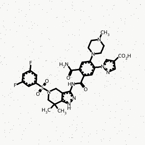 CN1CCN(c2cc(C(N)=O)c(C(=O)Nc3n[nH]c4c3CN(S(=O)(=O)c3cc(F)cc(F)c3)CC4(C)C)cc2-n2cc(C(=O)O)cn2)CC1